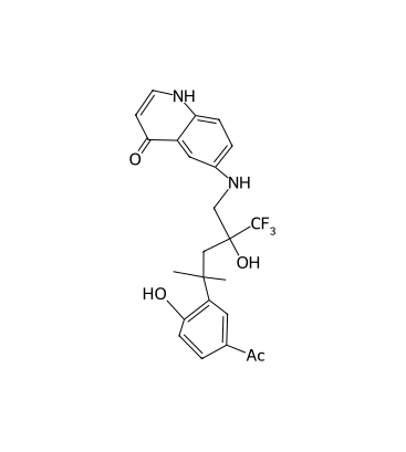 CC(=O)c1ccc(O)c(C(C)(C)CC(O)(CNc2ccc3[nH]ccc(=O)c3c2)C(F)(F)F)c1